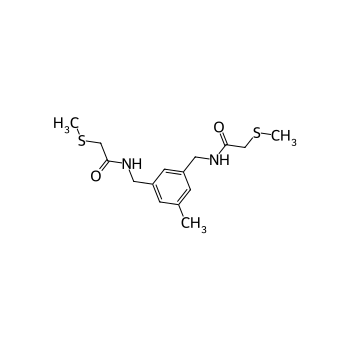 CSCC(=O)NCc1cc(C)cc(CNC(=O)CSC)c1